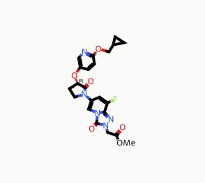 COC(=O)Cn1nc2c(F)cc(N3CC[C@@H](Oc4ccc(OCC5CC5)nc4)C3=O)cn2c1=O